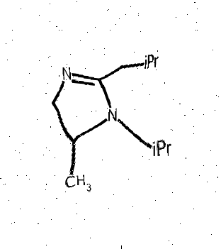 CC(C)C1=NCC(C)N1C(C)C